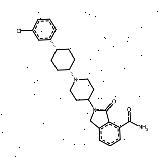 NC(=O)c1cccc2c1C(=O)N(C1CCN([C@H]3CC[C@@H](c4cccc(Cl)c4)CC3)CC1)C2